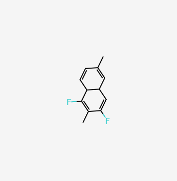 CC1=CC2C=C(F)C(C)=C(F)C2C=C1